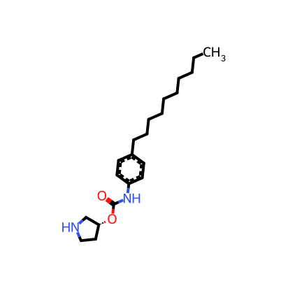 CCCCCCCCCCc1ccc(NC(=O)O[C@@H]2CCNC2)cc1